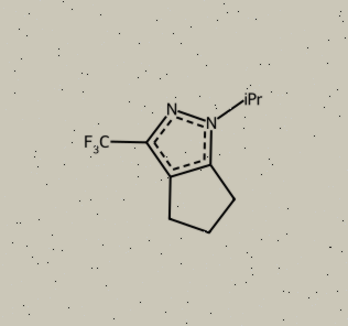 CC(C)n1nc(C(F)(F)F)c2c1CCC2